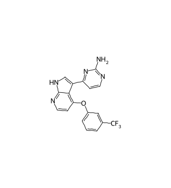 Nc1nccc(-c2c[nH]c3nccc(Oc4cccc(C(F)(F)F)c4)c23)n1